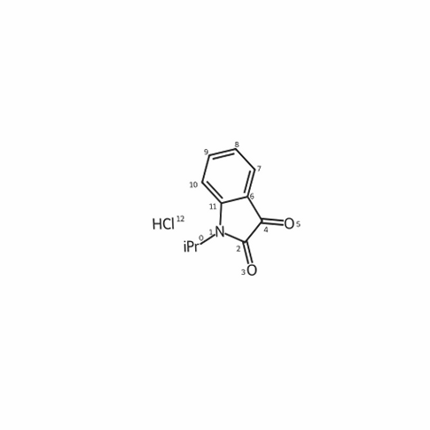 CC(C)N1C(=O)C(=O)c2ccccc21.Cl